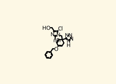 CCCc1nc(CO)c(Cl)n1CC1(c2nnn[nH]2)C=CC(OCc2ccccc2)=CC1